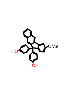 COc1ccc2c(c1)-c1cc3ccccc3cc1C2(c1ccc(O)cc1)c1ccc(O)cc1